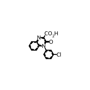 O=C(O)c1nc2ccccc2n(-c2cccc(Cl)c2)c1=O